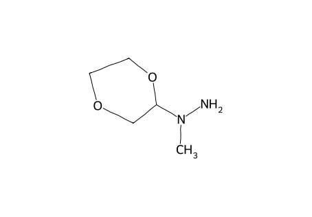 CN(N)C1COCCO1